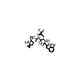 N#C[C@H](C[C@@H]1CC2(CC2)NC1=O)NC(=O)[C@H](CC1CC1(F)F)NC(=O)c1cc2cccc(F)c2[nH]1